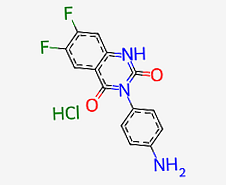 Cl.Nc1ccc(-n2c(=O)[nH]c3cc(F)c(F)cc3c2=O)cc1